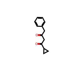 O=C(CC(=O)C1CC1)Cc1ccccc1